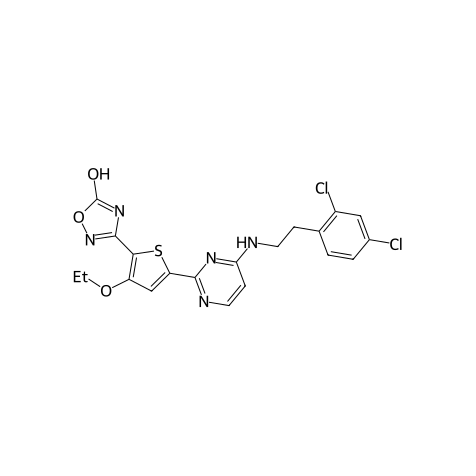 CCOc1cc(-c2nccc(NCCc3ccc(Cl)cc3Cl)n2)sc1-c1noc(O)n1